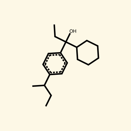 CCC(C)c1ccc(C(O)(CC)C2CCCCC2)cc1